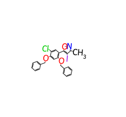 Cc1noc(-c2cc(Cl)c(OCc3ccccc3)cc2OCc2ccccc2)c1I